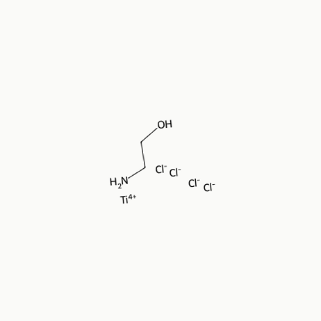 NCCO.[Cl-].[Cl-].[Cl-].[Cl-].[Ti+4]